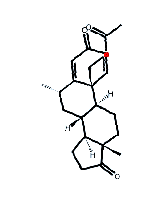 CC(=O)OC[C@]12C=CC(=O)C=C1[C@@H](C)C[C@H]1[C@@H]3CCC(=O)[C@@]3(C)CC[C@@H]12